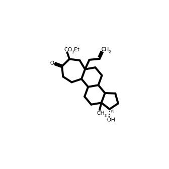 C=CCC12CCC3C(CCC4(C)C3CC[C@@H]4O)C1CCC(=O)C(C(=O)OCC)C2